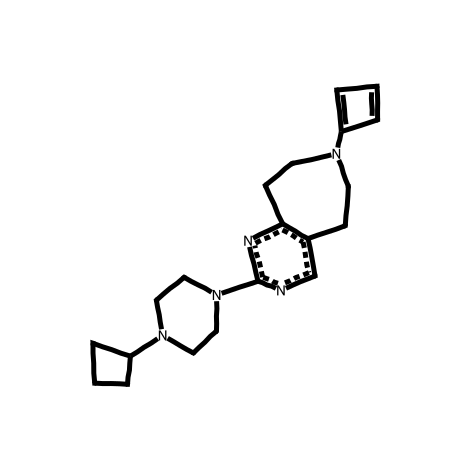 C1=CC(N2CCc3cnc(N4CCN(C5CCC5)CC4)nc3CC2)=C1